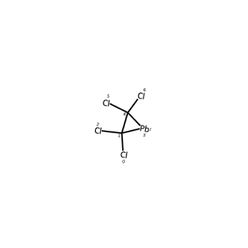 Cl[C]1(Cl)[Pb][C]1(Cl)Cl